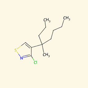 CCCCC(C)(CCC)c1csnc1Cl